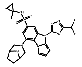 CC1(NS(=O)(=O)c2cc(N3CC4CCC(C3)N4)c3c(c2)n(-c2nnc(C(F)F)s2)c2nccn32)CC1